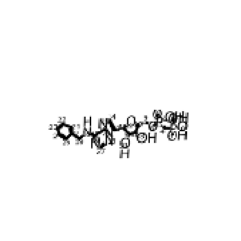 O=P(O)(O)CP(=O)(O)OC[C@H]1O[C@@H](c2cnc3c(NCc4ccccc4)ncnn23)[C@H](O)[C@@H]1O